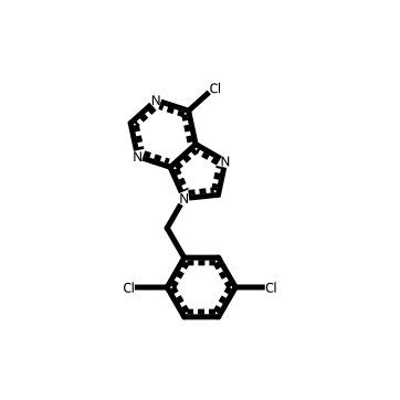 Clc1ccc(Cl)c(Cn2cnc3c(Cl)ncnc32)c1